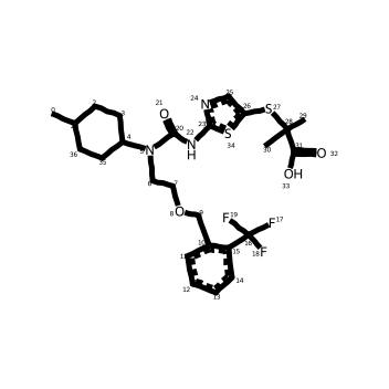 CC1CCC(N(CCOCc2ccccc2C(F)(F)F)C(=O)Nc2ncc(SC(C)(C)C(=O)O)s2)CC1